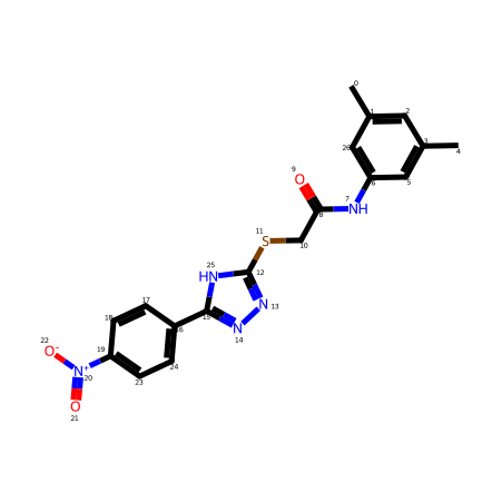 Cc1cc(C)cc(NC(=O)CSc2nnc(-c3ccc([N+](=O)[O-])cc3)[nH]2)c1